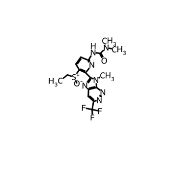 CC[S+]([O-])c1ccc(NC(=O)N(C)C)nc1-c1nc2cc(C(F)(F)F)nnc2n1C